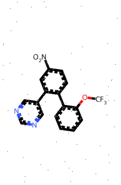 O=[N+]([O-])c1ccc(-c2ccccc2OC(F)(F)F)c(-c2cncnc2)c1